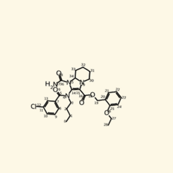 CCCCN(C(=O)c1cccc(Cl)c1)C1=C(C(=O)OCc2ccccc2OCC)N2CCCCC2N1C(N)=O